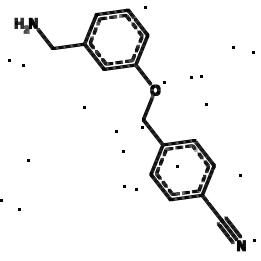 N#Cc1ccc(COc2cccc(CN)c2)cc1